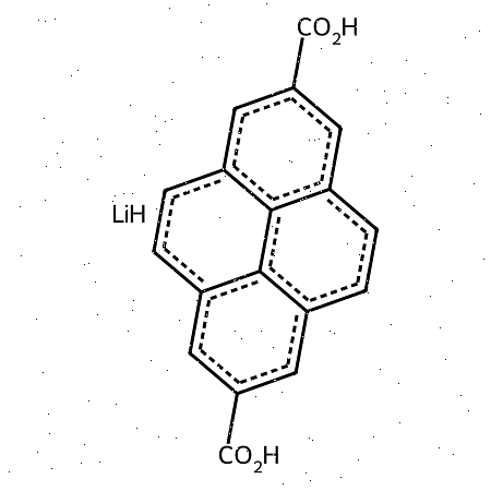 O=C(O)c1cc2ccc3cc(C(=O)O)cc4ccc(c1)c2c34.[LiH]